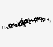 C=CC(=O)OCOc1ccc(CCC(=O)Oc2ccc(C(c3ccc(OC(=O)CCc4ccc(C)cc4)cc3)(C(F)(F)F)C(F)(F)F)cc2)cc1